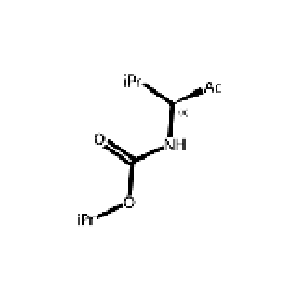 CC(=O)[C@@H](NC(=O)OC(C)C)C(C)C